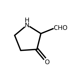 O=CC1NCCC1=O